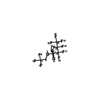 O=S(=O)(OCC(F)(F)F)C(F)(F)C(F)(F)C(F)(F)F